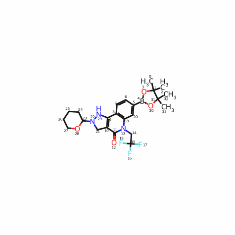 CC1(C)OB(c2ccc3c4c(c(=O)n(CC(F)(F)F)c3c2)CN(C2CCCCO2)N4)OC1(C)C